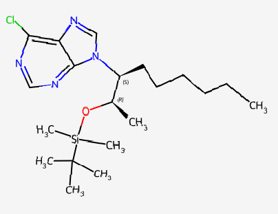 CCCCCC[C@@H]([C@@H](C)O[Si](C)(C)C(C)(C)C)n1cnc2c(Cl)ncnc21